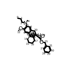 CCCN(C)c1cc2c(cc1OC)[C@@]13CCCC[C@H]1[C@@H](C2)N(C(=O)OCc1ccccc1)CC3